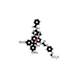 COc1ccc(C(c2ccccc2)(c2ccc(OC)cc2)C(O)[C@H]2O[C@@H](n3cnc4c(NC(=O)c5ccccc5)ncnc43)C[C@@H]2OC(=O)COc2ccc(OCC(=O)O)cc2)cc1